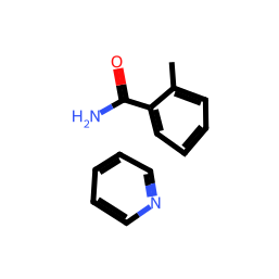 Cc1ccccc1C(N)=O.c1ccncc1